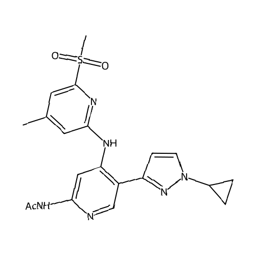 CC(=O)Nc1cc(Nc2cc(C)cc(S(C)(=O)=O)n2)c(-c2ccn(C3CC3)n2)cn1